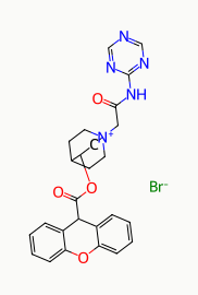 O=C(C[N+]12CCC(CC1)C(OC(=O)C1c3ccccc3Oc3ccccc31)C2)Nc1ncncn1.[Br-]